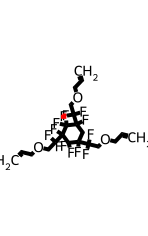 C=CCOCC(F)(F)C1(F)CC(F)(C(F)(F)COCC=C)C(F)(F)C(F)(C(F)(F)COCC=C)C1(F)F